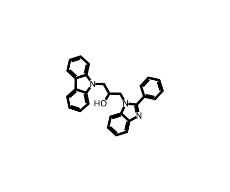 OC(Cn1c(-c2ccccc2)nc2ccccc21)Cn1c2ccccc2c2ccccc21